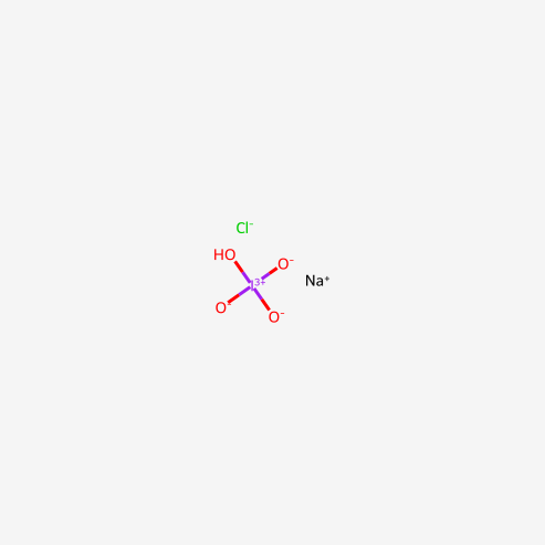 [Cl-].[Na+].[O-][I+3]([O-])([O-])O